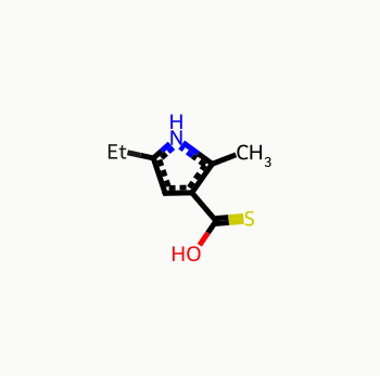 CCc1cc(C(O)=S)c(C)[nH]1